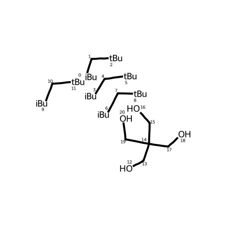 CCC(C)CC(C)(C)C.CCC(C)CC(C)(C)C.CCC(C)CC(C)(C)C.CCC(C)CC(C)(C)C.OCC(CO)(CO)CO